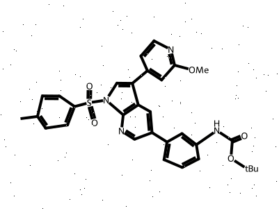 COc1cc(-c2cn(S(=O)(=O)c3ccc(C)cc3)c3ncc(-c4cccc(NC(=O)OC(C)(C)C)c4)cc23)ccn1